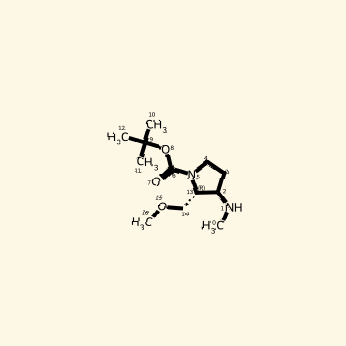 CNC1CCN(C(=O)OC(C)(C)C)[C@H]1COC